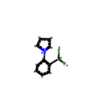 [F][Ti]([F])[c]1ccccc1-n1cccc1